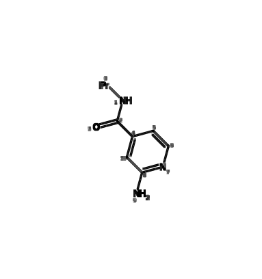 CC(C)NC(=O)c1ccnc(N)c1